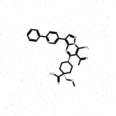 COC[C@]1(C(=O)O)CC[C@@H](c2nc3c(-c4ccc(-c5ccccc5)nc4)cnn3c(N)c2C(C)=O)CC1